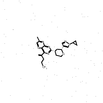 C=C(CCC(F)(F)F)c1nc([C@H]2CCO[C@@H](c3cnn(C4CC4)c3)C2)nc2nc(C)cnc12